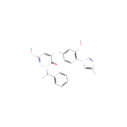 COc1cc(Oc2ccc(-n3cnc(C)c3)c(OC)c2)c(=O)n(C(C)c2ccccc2)n1